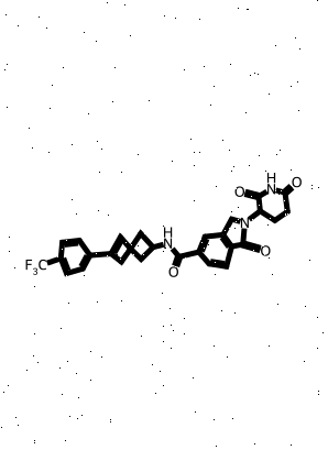 O=C1CCC(N2Cc3cc(C(=O)NC4CC5(C=C(c6ccc(C(F)(F)F)cc6)C5)C4)ccc3C2=O)C(=O)N1